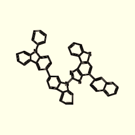 c1ccc(-n2c3ccccc3c3cc(-c4ccc5c6ccccc6n(-c6nc7c(s6)c(-c6ccc8ccccc8c6)cc6sc8ccccc8c67)c5c4)ccc32)cc1